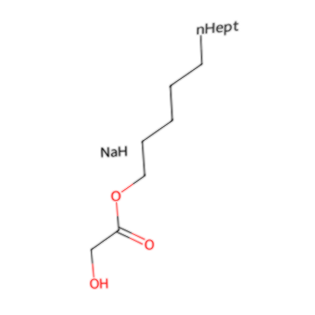 CCCCCCCCCCCCOC(=O)CO.[NaH]